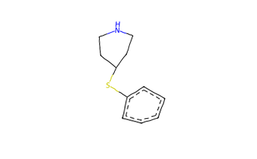 c1ccc(SC2CCNCC2)cc1